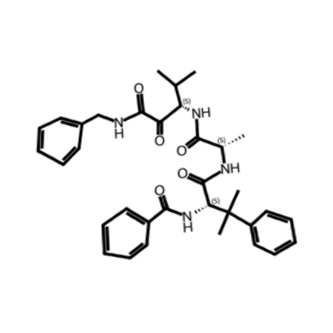 CC(C)[C@H](NC(=O)[C@H](C)NC(=O)[C@@H](NC(=O)c1ccccc1)C(C)(C)c1ccccc1)C(=O)C(=O)NCc1ccccc1